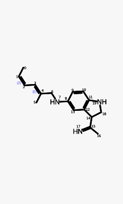 C/C=C\C=C(/C)CNc1ccc2c(c1)C(C(C)=N)CN2